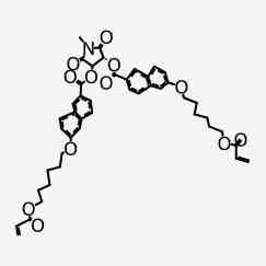 C=CC(=O)OCCCCCCOc1ccc2cc(C(=O)OC3C(=O)N(C)C(=O)[C@@H]3OC(=O)c3ccc4cc(OCCCCCCOC(=O)C=C)ccc4c3)ccc2c1